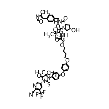 Cc1ncoc1-c1ccc(CNC(=O)[C@@H]2C[C@@H](O)CN2C(=O)[C@@H](NC(=O)COCCCCOc2ccc(Oc3ccc(N4C(=S)N(c5cnc(C#N)c(C(F)(F)F)c5)C(=O)C4(C)C)cc3)cc2)C(C)(C)C)cc1